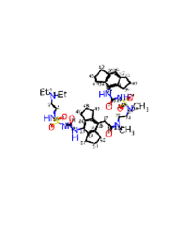 CCN(CC)CCNS(=O)(=O)NC(=O)Nc1c2c(c(CC(=O)N(C)CCN(C)S(=O)(=O)NC(=O)Nc3c4c(cc5c3CCC5)CCC4)c3c1CCC3)CCC2